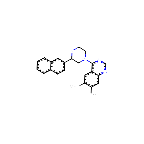 COc1cc2ncnc(N3CCNC(c4ccc5ccccc5c4)C3)c2cc1OC